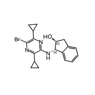 O[C@H]1Cc2ccccc2[C@@H]1Nc1nc(C2CC2)c(Br)nc1C1CC1